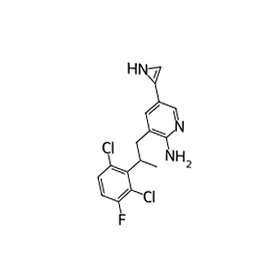 CC(Cc1cc(C2=CN2)cnc1N)c1c(Cl)ccc(F)c1Cl